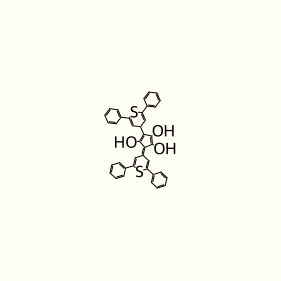 OC1=C(O)C(C2C=C(c3ccccc3)SC(c3ccccc3)=C2)=C(O)C1=C1C=C(c2ccccc2)SC(c2ccccc2)=C1